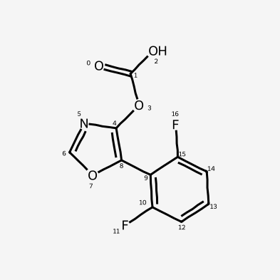 O=C(O)Oc1ncoc1-c1c(F)cccc1F